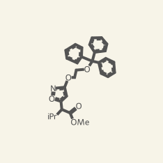 COC(=O)C(c1cc(OCCOC(c2ccccc2)(c2ccccc2)c2ccccc2)no1)C(C)C